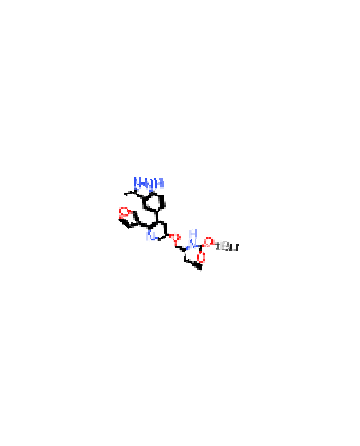 C#CC[C@@H](COc1cnc(-c2ccoc2)c(-c2ccc3[nH]nc(C)c3c2)c1)NC(=O)OC(C)(C)C